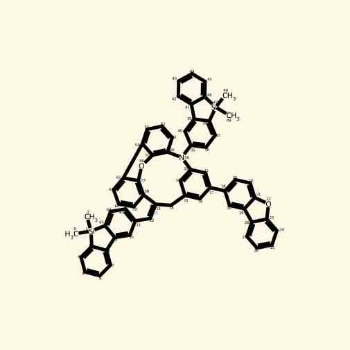 C[Si]1(C)c2ccccc2-c2cc(/C=C3/Cc4cc(-c5ccc6oc7ccccc7c6c5)cc(c4)N(c4ccc5c(c4)-c4ccccc4[Si]5(C)C)c4cccc5c4oc4c3cccc45)ccc21